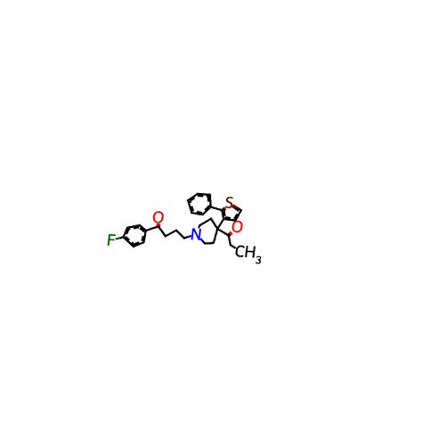 CCC(=O)C1(c2ccsc2-c2ccccc2)CCN(CCCC(=O)c2ccc(F)cc2)CC1